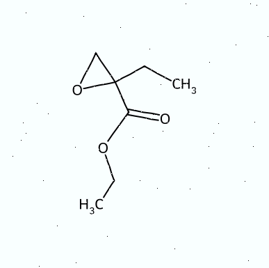 CCOC(=O)C1(CC)CO1